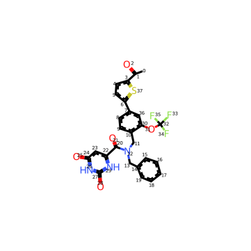 CC(=O)c1ccc(-c2ccc(CN(Cc3ccccc3)C(=O)c3cc(=O)[nH]c(=O)[nH]3)c(OC(F)(F)F)c2)s1